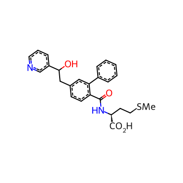 CSCC[C@H](NC(=O)c1ccc(CC(O)c2cccnc2)cc1-c1ccccc1)C(=O)O